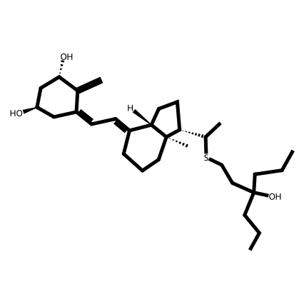 C=C1/C(=C\C=C2/CCC[C@]3(C)[C@@H](C(C)SCCC(O)(CCC)CCC)CC[C@@H]23)C[C@@H](O)C[C@@H]1O